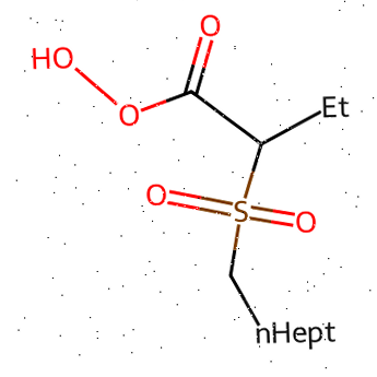 CCCCCCCCS(=O)(=O)C(CC)C(=O)OO